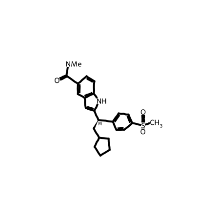 CNC(=O)c1ccc2[nH]c([C@H](CC3CCCC3)c3ccc(S(C)(=O)=O)cc3)cc2c1